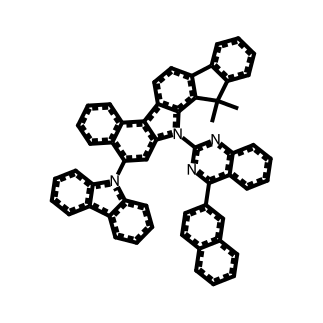 CC1(C)c2ccccc2-c2ccc3c4c5ccccc5c(-n5c6ccccc6c6ccccc65)cc4n(-c4nc(-c5ccc6ccccc6c5)c5ccccc5n4)c3c21